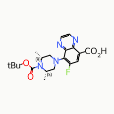 C[C@@H]1CN(c2c(F)cc(C(=O)O)c3nccnc23)C[C@H](C)N1C(=O)OC(C)(C)C